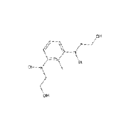 CCN(CCO)c1cccc(N(CC)CCO)c1C